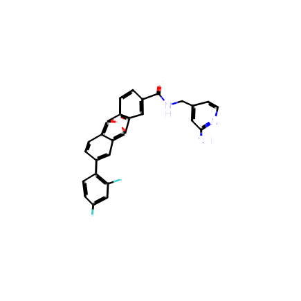 Nc1cc(CNC(=O)c2ccc3c(c2)c2oc3c3ccc(-c4ccc(F)cc4F)cc32)ccn1